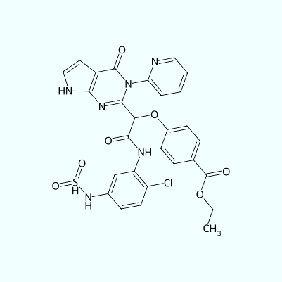 CCOC(=O)c1ccc(OC(C(=O)Nc2cc(N[SH](=O)=O)ccc2Cl)c2nc3[nH]ccc3c(=O)n2-c2ccccn2)cc1